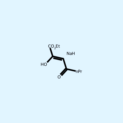 CCCC(=O)C=C(O)C(=O)OCC.[NaH]